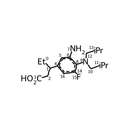 CCC(CC(=O)O)c1cc(N)c(N(CC(C)C)CC(C)C)c(F)c1